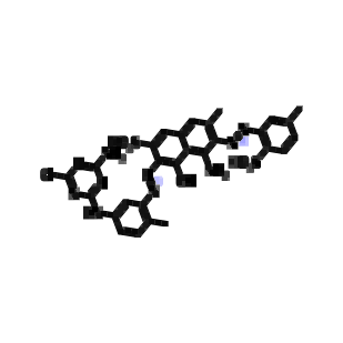 Cc1ccc(S(=O)(=O)O)c(/N=N/c2c(C)cc3cc(S(=O)(=O)O)c(/N=N/c4cc(Nc5nc(N)nc(Cl)n5)ccc4C)c(O)c3c2N)c1